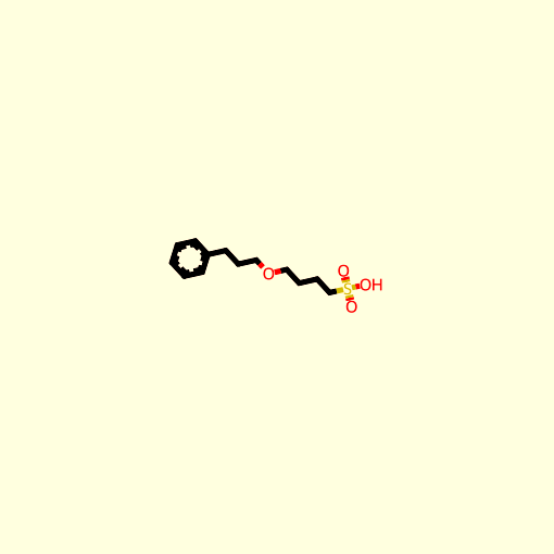 O=S(=O)(O)CCCCOCCCc1ccccc1